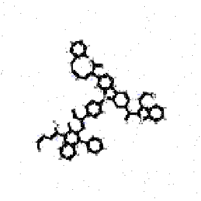 C=C/C(=C\c1c(C)c(/C(=C/C=C\C)CC)c2ccccc2c1-c1ccccc1)c1ccc(-n2c3c(c4ccc(/C5=C/C=C\Cc6ccccc6OC5=C)cc42)C=CC(C(=C)c2oc4ccccc4c2/C=C\CC)C3)cc1